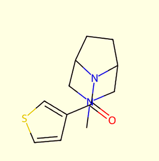 CN1CC2CCC(C1)N2C(=O)c1ccsc1